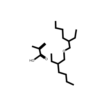 C=C(C)C(=O)O.CCCCC(CC)COCC(CC)CCCC